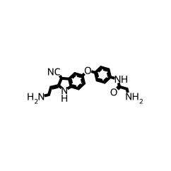 N#CC1C(=CCN)Nc2ccc(Oc3ccc(NC(=O)CN)cc3)cc21